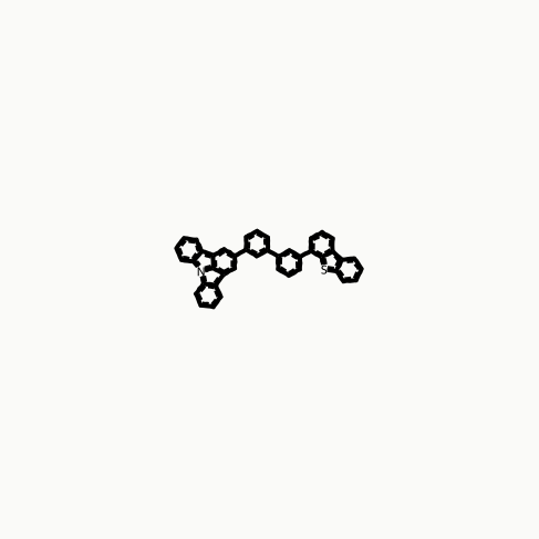 c1cc(-c2cccc(-c3cccc4c3sc3ccccc34)c2)cc(-c2cc3c4ccccc4n4c5ccccc5c(c2)c34)c1